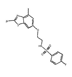 Cc1cc(OCCNS(=O)(=O)c2ccc(F)cc2)cc2sc(Br)nc12